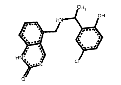 CC(NCc1cccc2[nH]c(=O)ncc12)c1cc(Cl)ccc1O